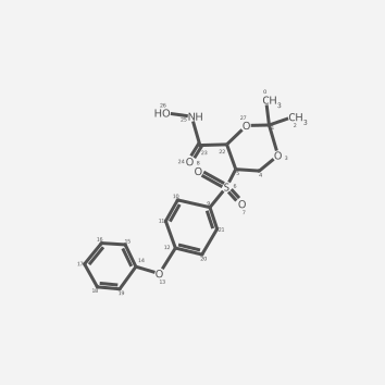 CC1(C)OCC(S(=O)(=O)c2ccc(Oc3ccccc3)cc2)C(C(=O)NO)O1